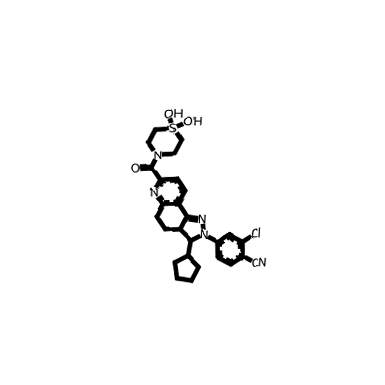 N#Cc1ccc(N2N=C3c4ccc(C(=O)N5CCS(O)(O)CC5)nc4CCC3C2C2CCCC2)cc1Cl